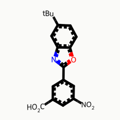 CC(C)(C)c1ccc2oc(-c3cc(C(=O)O)cc([N+](=O)[O-])c3)nc2c1